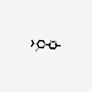 Cc1ccc(N2CC[C@@H](C(C)C)[C@@H](F)C2)nn1